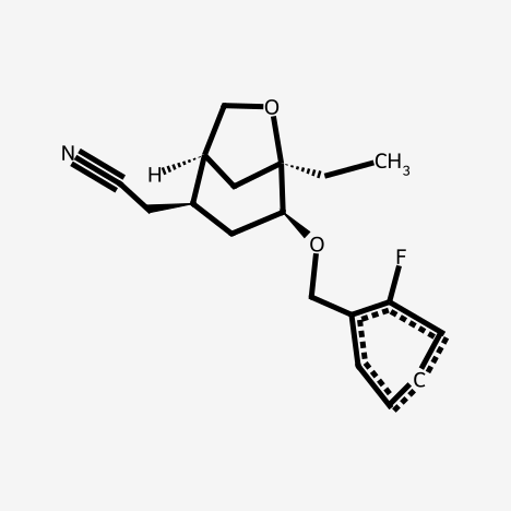 CC[C@]12C[C@H](CO1)[C@H](CC#N)C[C@@H]2OCc1ccccc1F